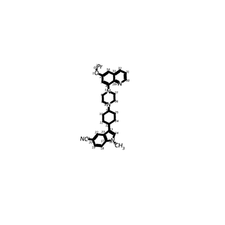 CC(C)Oc1cc(N2CCN(C3CCC(c4cn(C)c5ccc(C#N)cc45)CC3)CC2)c2ncccc2c1